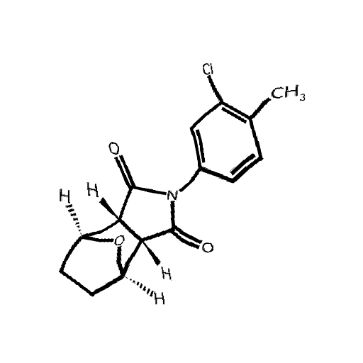 Cc1ccc(N2C(=O)[C@@H]3[C@H](C2=O)[C@H]2CC[C@@H]3O2)cc1Cl